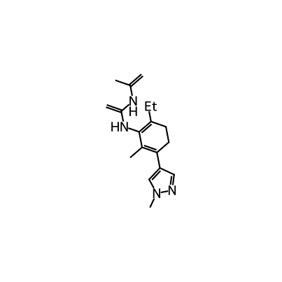 C=C(C)NC(=C)NC1=C(CC)CCC(c2cnn(C)c2)=C1C